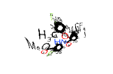 COC(=O)c1cc(NC(=O)c2ccc(C(F)(F)F)cc2Oc2ccc(F)cc2C)ccc1F